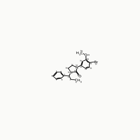 CCC(c1ccccc1)N1CCN(c2ccc(Br)c(OC)c2)C1=O